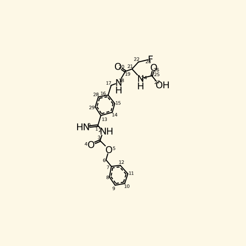 N=C(NC(=O)OCc1ccccc1)c1ccc(CNC(=O)C(CF)NC(=O)O)cc1